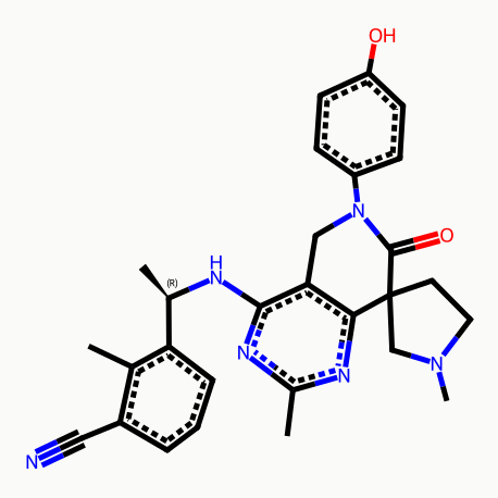 Cc1nc(N[C@H](C)c2cccc(C#N)c2C)c2c(n1)C1(CCN(C)C1)C(=O)N(c1ccc(O)cc1)C2